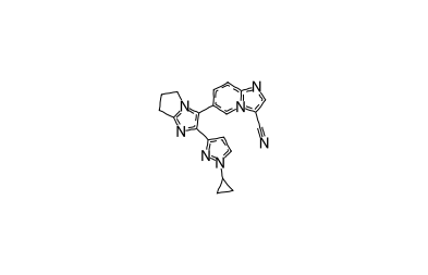 N#Cc1cnc2ccc(-c3c(-c4ccn(C5CC5)n4)nc4n3CCC4)cn12